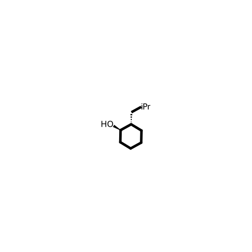 CC(C)C[C@@H]1CCCC[C@H]1O